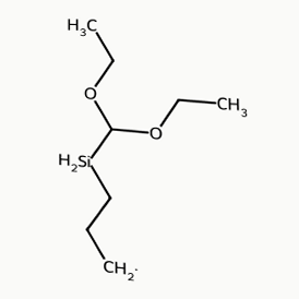 [CH2]CC[SiH2]C(OCC)OCC